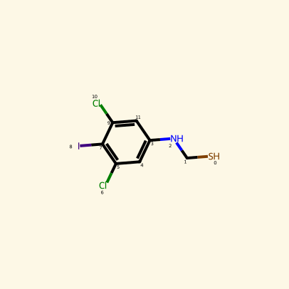 SCNc1cc(Cl)c(I)c(Cl)c1